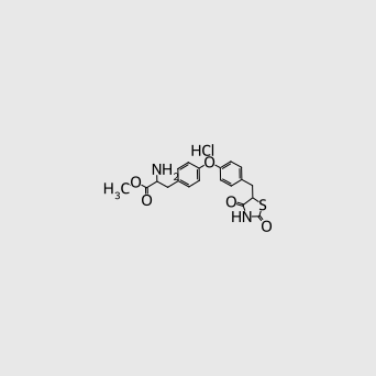 COC(=O)C(N)Cc1ccc(Oc2ccc(CC3SC(=O)NC3=O)cc2)cc1.Cl